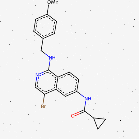 COc1ccc(CNc2ncc(Br)c3cc(NC(=O)C4CC4)ccc23)cc1